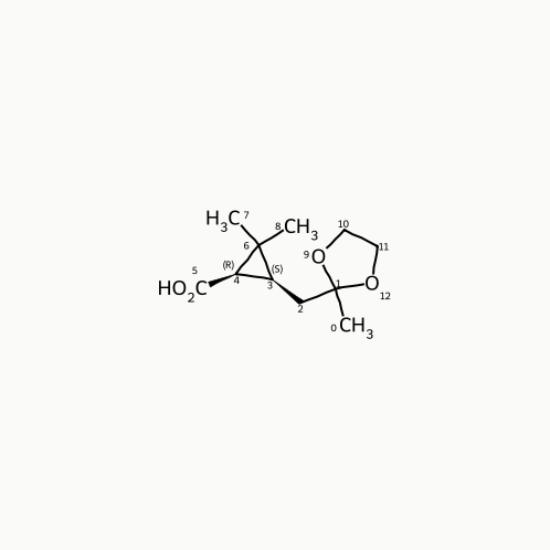 CC1(C[C@H]2[C@@H](C(=O)O)C2(C)C)OCCO1